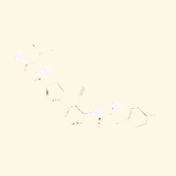 C#Cc1c(NC(=O)[C@@H](N)Cc2ccc(C(=O)O)cc2)cccc1-c1ccc(C(=O)N[C@H](C(=O)NO)[C@@H](C)O)cc1